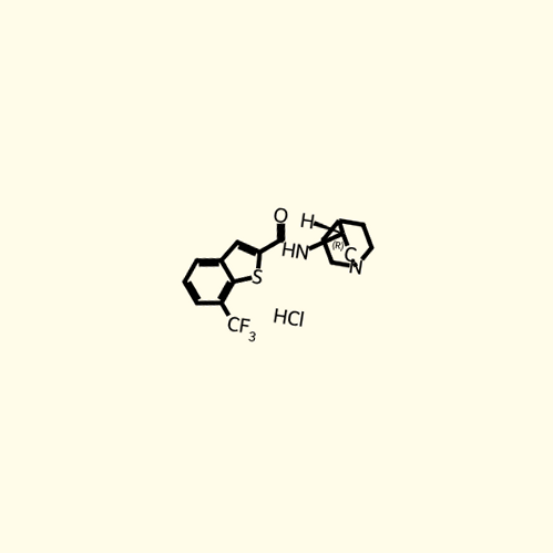 Cl.O=C(N[C@H]1CN2CCC1CC2)c1cc2cccc(C(F)(F)F)c2s1